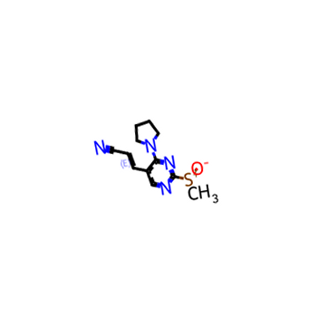 C[S+]([O-])c1ncc(/C=C/C#N)c(N2CCCC2)n1